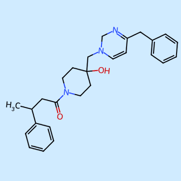 CC(CC(=O)N1CCC(O)(CN2C=CC(Cc3ccccc3)=NC2)CC1)c1ccccc1